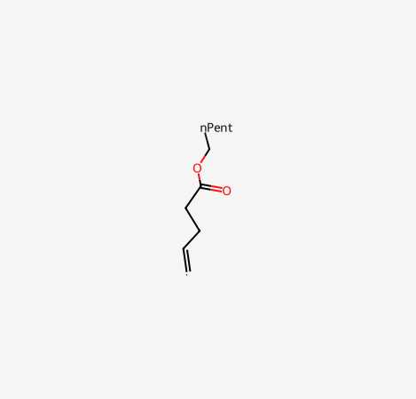 [CH]=CCCC(=O)OCCCCCC